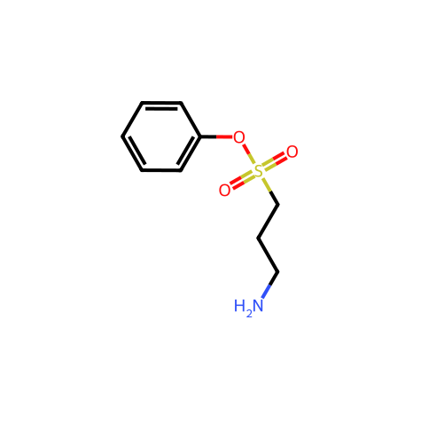 NCCCS(=O)(=O)Oc1ccccc1